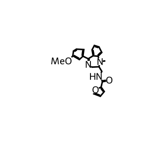 COc1cccc(C2=NCC(CNC(=O)c3ccco3)N(C)c3ccccc32)c1